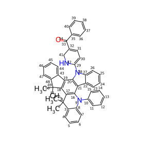 CC1(C)c2ccccc2N(c2ccccc2)c2c1c1c(c3c2c2ccccc2n3C2=CC=C(C(=O)c3ccccc3)CN2)-c2ccccc2C1(C)C